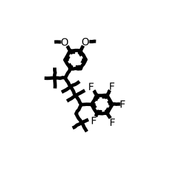 COc1ccc(C(C(C)(C)C)C(C)(C)C(C)(C)C(CC(C)(C)C)c2c(F)c(F)c(F)c(F)c2F)cc1OC